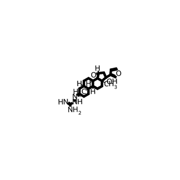 C[C@]12CC/C(=N\NC(=N)N)C[C@H]1CC[C@@H]1[C@@H]2CC[C@@]2(C)[C@@]13O[C@@H]3C[C@]2(O)c1ccoc1